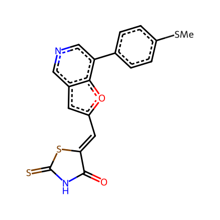 CSc1ccc(-c2cncc3cc(/C=C4\SC(=S)NC4=O)oc23)cc1